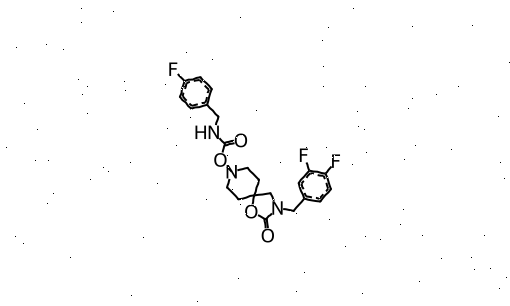 O=C(NCc1ccc(F)cc1)ON1CCC2(CC1)CN(Cc1ccc(F)c(F)c1)C(=O)O2